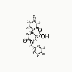 O=C(O)[C@@H]1CN(Cc2ccccc2)C(=O)C[C@H]1c1ccc(F)cc1